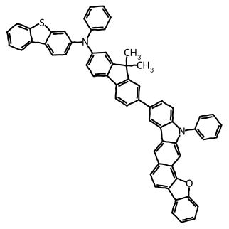 CC1(C)c2cc(-c3ccc4c(c3)c3cc5ccc6c7ccccc7oc6c5cc3n4-c3ccccc3)ccc2-c2ccc(N(c3ccccc3)c3ccc4c(c3)sc3ccccc34)cc21